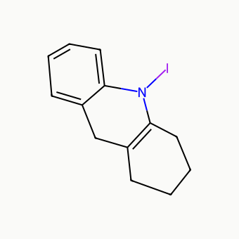 IN1C2=C(CCCC2)Cc2ccccc21